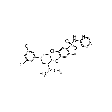 CN(C)[C@H]1C[C@@H](c2cc(Cl)cc(Cl)c2)CC[C@@H]1Oc1cc(F)c(S(=O)(=O)Nc2ccncn2)cc1Cl